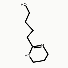 OCCCCC1=NCCCN1